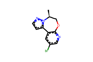 C[C@H]1COc2ncc(Br)cc2-c2ccnn21